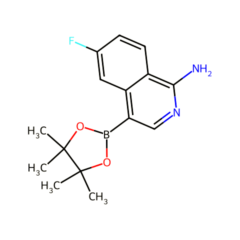 CC1(C)OB(c2cnc(N)c3ccc(F)cc23)OC1(C)C